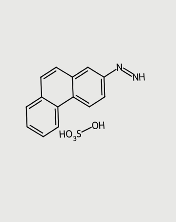 N=Nc1ccc2c(ccc3ccccc32)c1.O=S(=O)(O)O